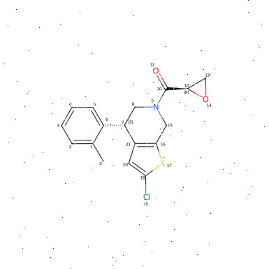 Cc1ccccc1[C@@H]1CN(C(=O)[C@H]2CO2)Cc2sc(Cl)cc21